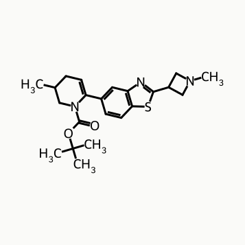 CC1CC=C(c2ccc3sc(C4CN(C)C4)nc3c2)N(C(=O)OC(C)(C)C)C1